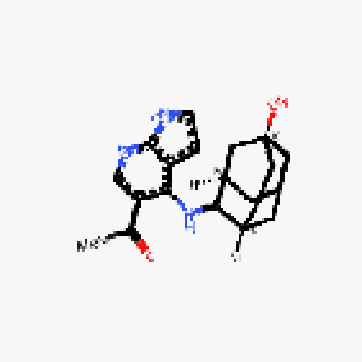 CNC(=O)c1cnc2[nH]ccc2c1NC1[C@@H]2CC3C[C@H]1C[C@@](O)(C3)C2